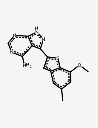 COc1cc(C)cc2cc(-c3n[nH]c4ncnc(N)c34)sc12